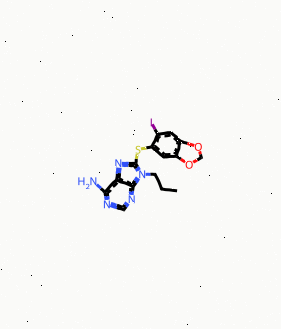 CCCn1c(Sc2cc3c(cc2I)OCO3)nc2c(N)ncnc21